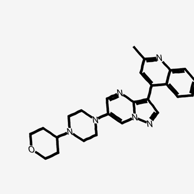 Cc1cc(-c2cnn3cc(N4CCN(C5CCOCC5)CC4)cnc23)c2ccccc2n1